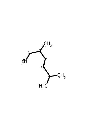 [2H]CC(C)CCC(C)C